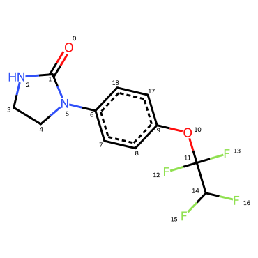 O=C1NCCN1c1ccc(OC(F)(F)C(F)F)cc1